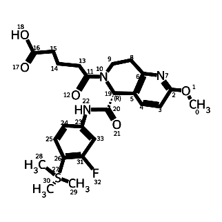 COc1ccc2c(n1)CCN(C(=O)CCCC(=O)O)[C@H]2C(=O)Nc1ccc(S(C)(C)C)c(F)c1